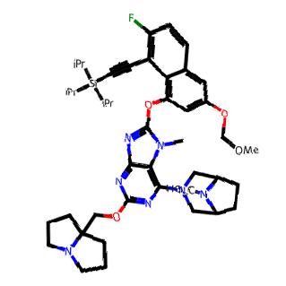 COCOc1cc(Oc2nc3nc(OCC45CCCN4CCC5)nc(N4CC5CCC(C4)N5C(=O)O)c3n2C)c2c(C#C[Si](C(C)C)(C(C)C)C(C)C)c(F)ccc2c1